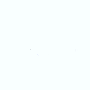 CCOC(=O)C12CC1CN(C(=O)OCC(C)C)C2